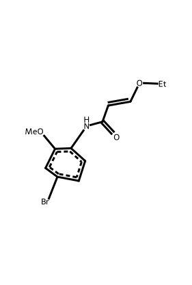 CCOC=CC(=O)Nc1ccc(Br)cc1OC